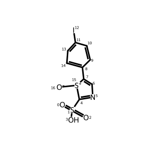 O=S(=O)(O)c1ncc(-c2ccc(I)cc2)[s+]1[O-]